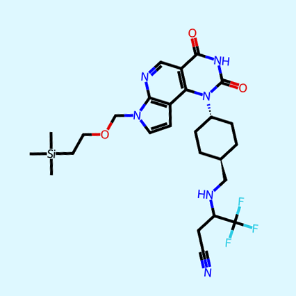 C[Si](C)(C)CCOCn1ccc2c1ncc1c(=O)[nH]c(=O)n([C@H]3CC[C@H](CNC(CC#N)C(F)(F)F)CC3)c12